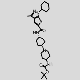 Cc1nn(C2CCCCC2)c2sc(C(=O)N[C@H]3CC[C@H](N4CCC(NC(=O)OC(C)(C)C)CC4)CC3)cc12